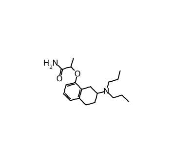 CCCN(CCC)C1CCc2cccc(OC(C)C(N)=O)c2C1